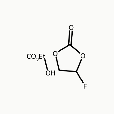 CCOC(=O)O.O=C1OCC(F)O1